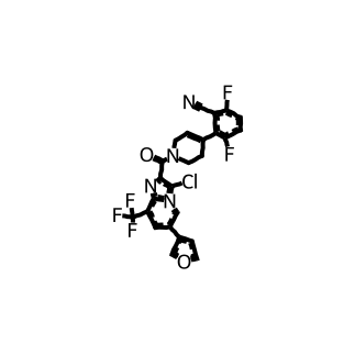 N#Cc1c(F)ccc(F)c1C1=CCN(C(=O)c2nc3c(C(F)(F)F)cc(-c4ccoc4)cn3c2Cl)CC1